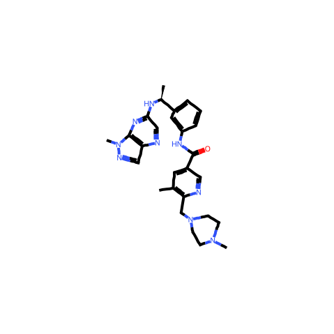 Cc1cc(C(=O)Nc2cccc([C@H](C)Nc3cnc4cnn(C)c4n3)c2)cnc1CN1CCN(C)CC1